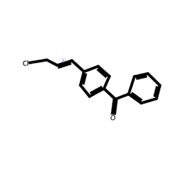 O=C(c1ccccc1)c1ccc(/C=C/CCl)cc1